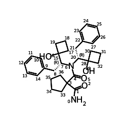 NC(=O)C1(C(=O)N([C@H](Cc2ccccc2)C2(O)CCC2)[C@H](Cc2ccccc2)C2(O)CCC2)CCCC1